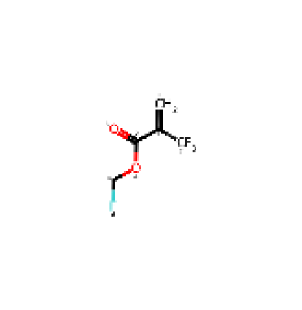 C=C(C(=O)OCF)C(F)(F)F